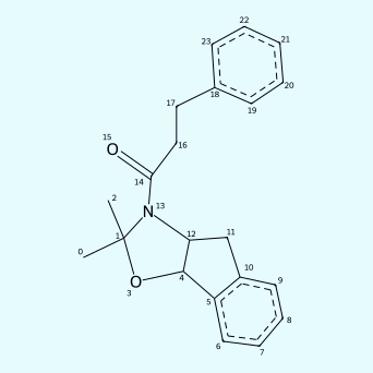 CC1(C)OC2c3ccccc3CC2N1C(=O)CCc1ccccc1